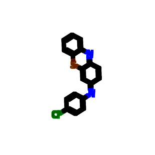 Clc1ccc(N=c2ccc3nc4ccccc4sc-3c2)cc1